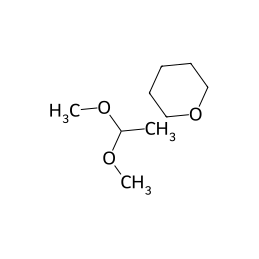 C1CCOCC1.COC(C)OC